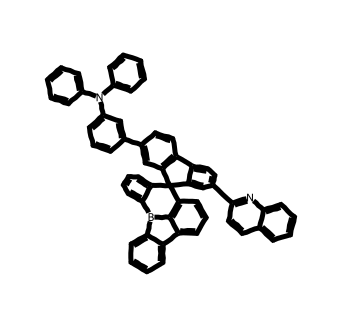 c1ccc(N(c2ccccc2)c2cccc(-c3ccc4c(c3)C3(c5ccccc5B5c6ccccc6-c6cccc3c65)c3cc(-c5ccc6ccccc6n5)ccc3-4)c2)cc1